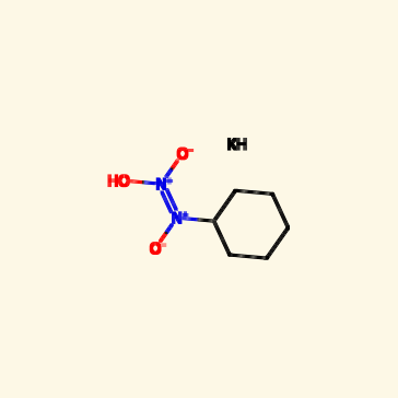 [KH].[O-]/[N+](O)=[N+](/[O-])C1CCCCC1